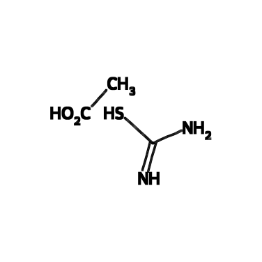 CC(=O)O.N=C(N)S